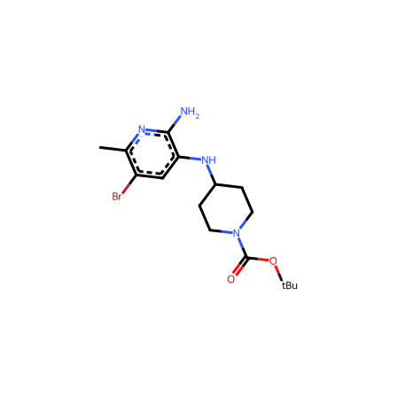 Cc1nc(N)c(NC2CCN(C(=O)OC(C)(C)C)CC2)cc1Br